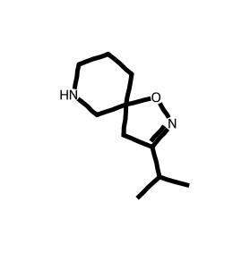 CC(C)C1=NOC2(CCCNC2)C1